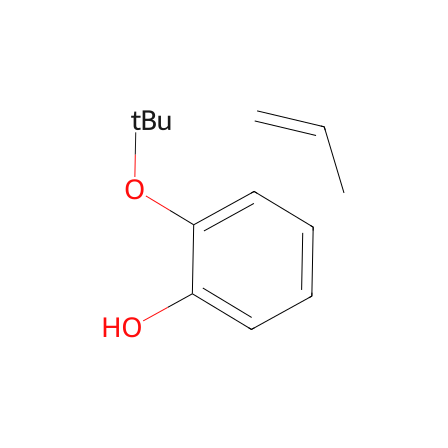 C=CC.CC(C)(C)Oc1ccccc1O